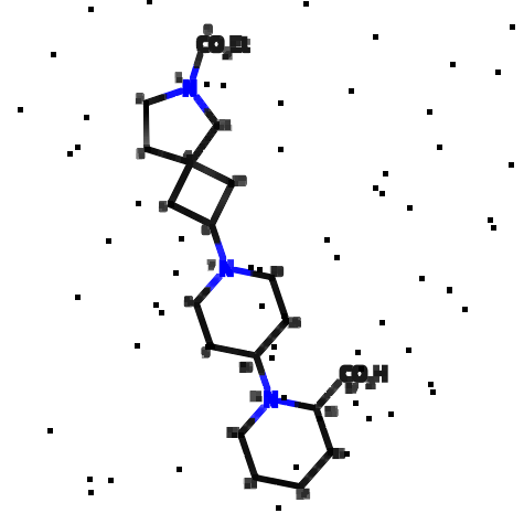 CCOC(=O)N1CCC2(CC(N3CCC(N4CCCCC4C(=O)O)CC3)C2)C1